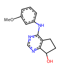 COc1cccc(Nc2ncnc3c2CCC3O)c1